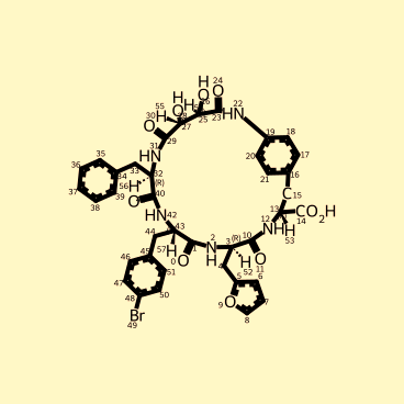 O=C1N[C@H](Cc2ccco2)C(=O)N[C@@H](C(=O)O)Cc2ccc(cc2)NC(=O)[C@H](O)[C@@H](O)C(=O)N[C@H](Cc2ccccc2)C(=O)N[C@H]1Cc1ccc(Br)cc1